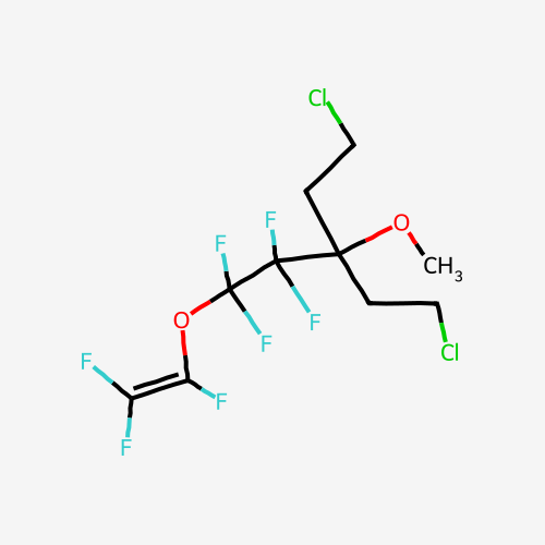 COC(CCCl)(CCCl)C(F)(F)C(F)(F)OC(F)=C(F)F